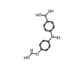 CCN(c1ccc(OBO)cc1)c1ccc(B(O)O)cc1